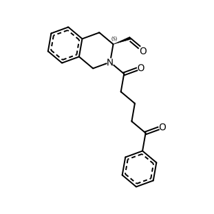 O=C[C@@H]1Cc2ccccc2CN1C(=O)CCCC(=O)c1ccccc1